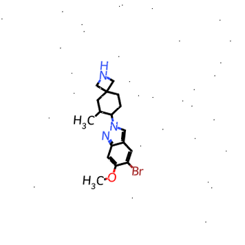 COc1cc2nn(C3CCC4(CNC4)CC3C)cc2cc1Br